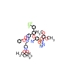 COc1ccc(CN(c2ncns2)S(=O)(=O)c2ccc(Oc3ccc(-c4cccc(C(F)(F)F)c4)cc3-c3ccnc(CN(CCC4CCN(C(=O)OC(C)(C)C)CC4)C(=O)OCc4ccccc4)c3)c(C#N)c2)c(OC)c1